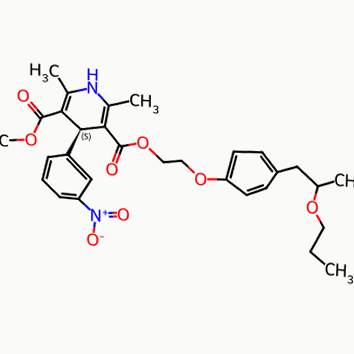 CCCOC(C)Cc1ccc(OCCOC(=O)C2=C(C)NC(C)=C(C(=O)OC)[C@@H]2c2cccc([N+](=O)[O-])c2)cc1